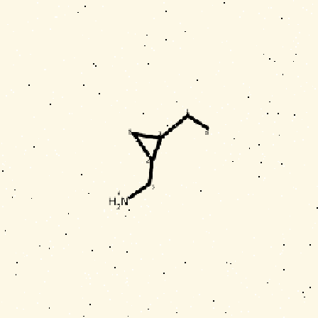 CCC1[CH]C1CN